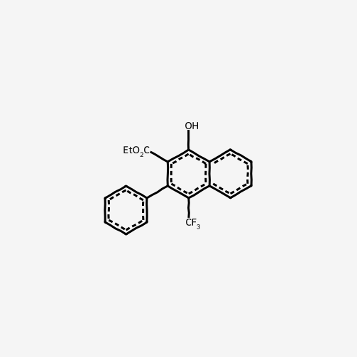 CCOC(=O)c1c(-c2ccccc2)c(C(F)(F)F)c2ccccc2c1O